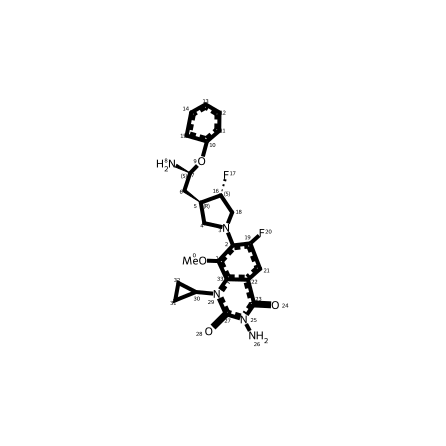 COc1c(N2C[C@@H](C[C@@H](N)Oc3ccccc3)[C@H](F)C2)c(F)cc2c(=O)n(N)c(=O)n(C3CC3)c12